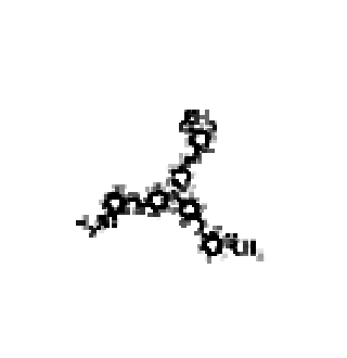 COc1cccc(C=Cc2ccc(N(c3ccc(C=Cc4cccc(OC)c4)cc3)c3ccc(C=Cc4cccc(OC)c4)cc3)cc2)c1